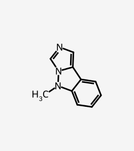 Cn1c2ccccc2c2cncn21